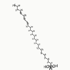 O=P(O)(O)CCCCCCCCCCCCCCCCCCCCCCCCCI